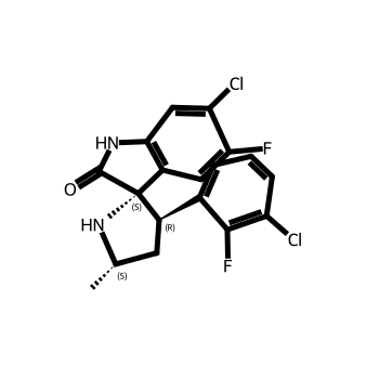 C[C@H]1C[C@H](c2cccc(Cl)c2F)[C@@]2(N1)C(=O)Nc1cc(Cl)c(F)cc12